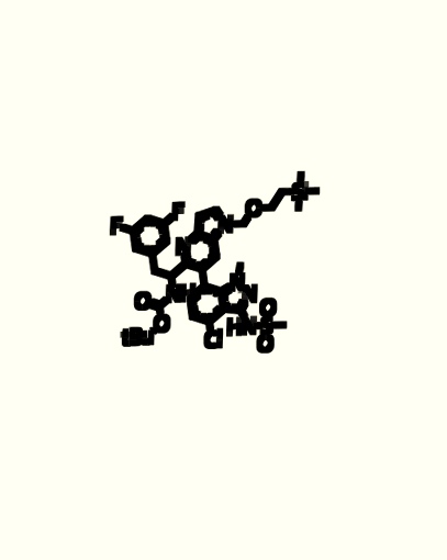 Cn1nc(NS(C)(=O)=O)c2c(Cl)ccc(-c3cc4c(ccn4COCC[Si](C)(C)C)nc3C(Cc3cc(F)cc(F)c3)NC(=O)OC(C)(C)C)c21